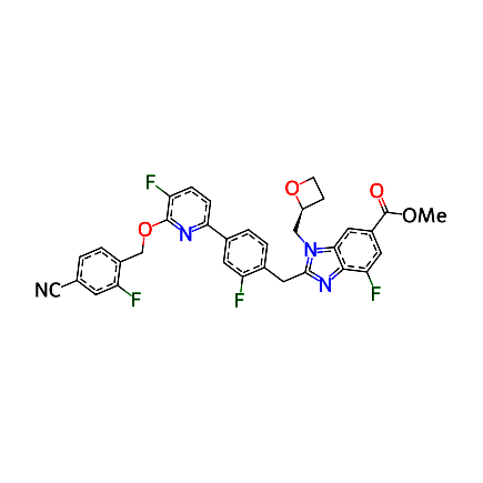 COC(=O)c1cc(F)c2nc(Cc3ccc(-c4ccc(F)c(OCc5ccc(C#N)cc5F)n4)cc3F)n(C[C@@H]3CCO3)c2c1